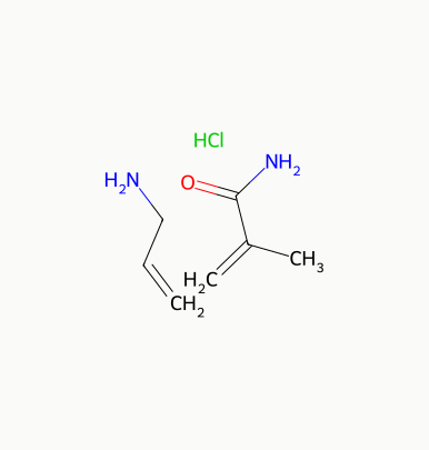 C=C(C)C(N)=O.C=CCN.Cl